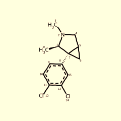 C[C@H]1N(C)CC2C[C@]21c1ccc(Cl)c(Cl)c1